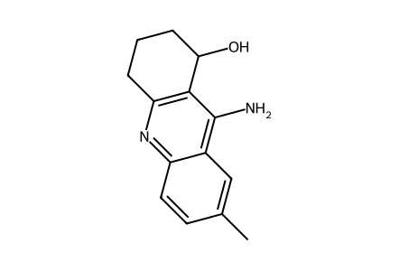 Cc1ccc2nc3c(c(N)c2c1)C(O)CCC3